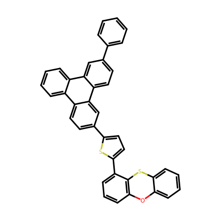 c1ccc(-c2ccc3c(c2)c2ccccc2c2ccc(-c4ccc(-c5cccc6c5Sc5ccccc5O6)s4)cc23)cc1